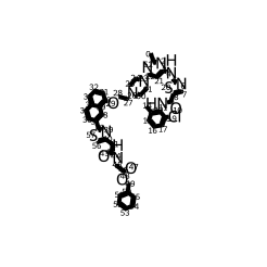 Cc1nc(Nc2ncc(C(=O)Nc3c(C)cccc3Cl)s2)cc(N2CCN(CCOc3cccc4ccc(-c5nc(CC(=O)NCC(=O)OCc6ccccc6)cs5)cc34)CC2)n1